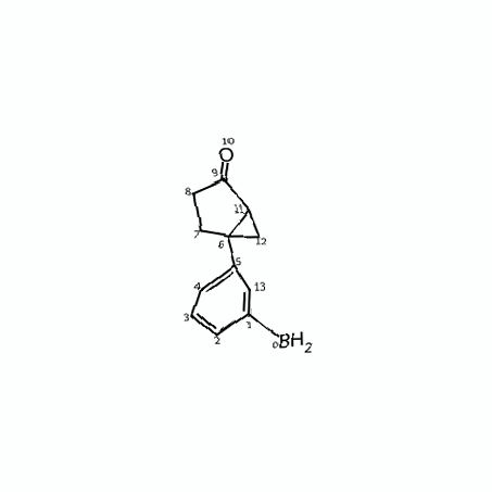 Bc1cccc(C23CCC(=O)C2C3)c1